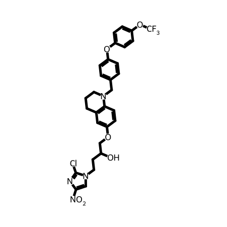 O=[N+]([O-])c1cn(CCC(O)COc2ccc3c(c2)CCCN3Cc2ccc(Oc3ccc(OC(F)(F)F)cc3)cc2)c(Cl)n1